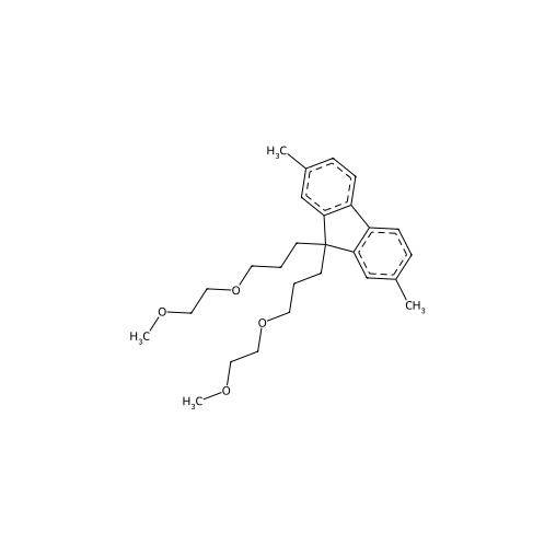 COCCOCCCC1(CCCOCCOC)c2cc(C)ccc2-c2ccc(C)cc21